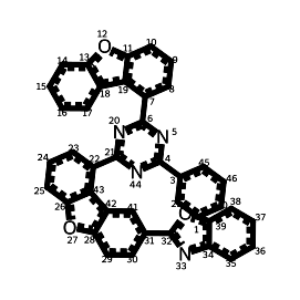 c1ccc(-c2nc(-c3cccc4oc5ccccc5c34)nc(-c3cccc4oc5ccc(-c6nc7ccccc7o6)cc5c34)n2)cc1